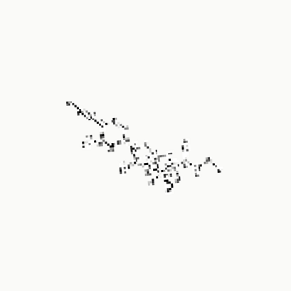 CC#Cc1ccc(N2C[C@H](C[C@](C)(C(=O)OCC)S(C)(=O)=O)OC2=O)cc1Cl